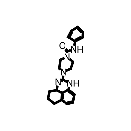 O=C(Nc1ccccc1)N1CCN(C2=NC3CCCc4cccc(c43)N2)CC1